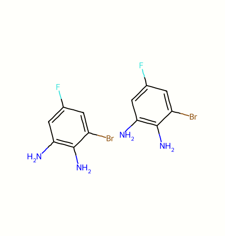 Nc1cc(F)cc(Br)c1N.Nc1cc(F)cc(Br)c1N